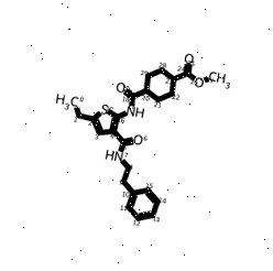 CCc1cc(C(=O)NCCc2ccccc2)c(NC(=O)C2CCC(C(=O)OC)CC2)s1